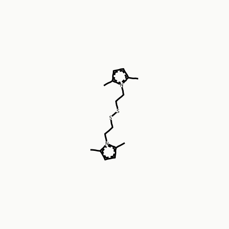 Cc1ccc(C)n1CCSSCCn1c(C)ccc1C